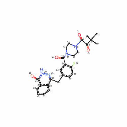 CC(C)(C)C(=O)C(=O)N1CCN(C(=O)c2cc(Cc3n[nH]c(=O)c4ccccc34)ccc2F)CC1